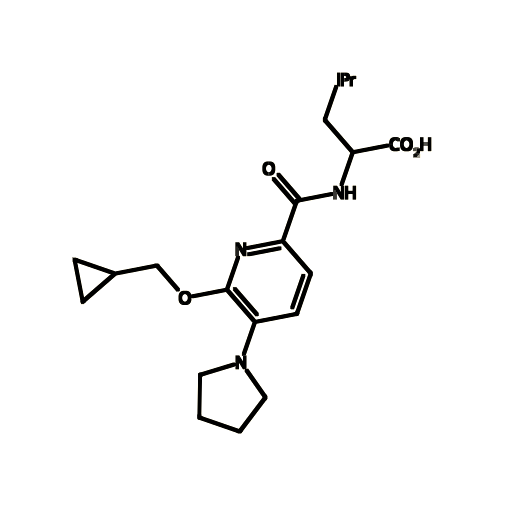 CC(C)CC(NC(=O)c1ccc(N2CCCC2)c(OCC2CC2)n1)C(=O)O